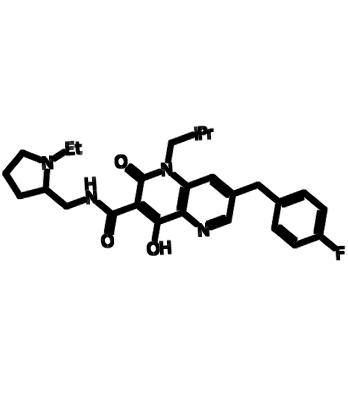 CCN1CCCC1CNC(=O)c1c(O)c2ncc(Cc3ccc(F)cc3)cc2n(CC(C)C)c1=O